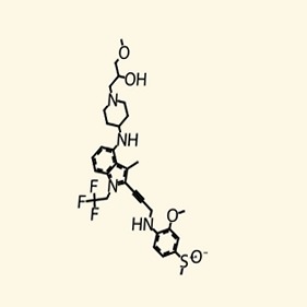 COCC(O)CN1CCC(Nc2cccc3c2c(C)c(C#CCNc2ccc([S+](C)[O-])cc2OC)n3CC(F)(F)F)CC1